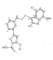 CCOc1cc(-c2cc(NCCn3c(Cl)cc4c(OC)ccc(F)c43)ncn2)sc1C(=O)OC